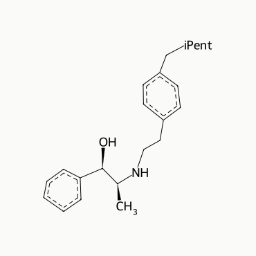 CCCC(C)Cc1ccc(CCN[C@@H](C)[C@H](O)c2ccccc2)cc1